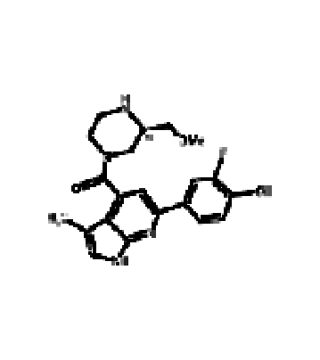 COC[C@H]1CN(C(=O)c2cc(-c3ccc(O)c(F)c3)nc3[nH]nc(C)c23)CCN1